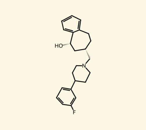 O[C@H]1C[C@@H](CN2CCC(c3cccc(F)c3)CC2)CCc2ccccc21